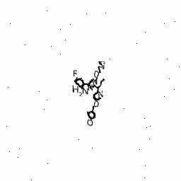 C=CCC(c1ccc(OCc2ccc(OC)cc2)cn1)c1nc(-c2cc(F)ccc2N)cn1COCC[Si](C)(C)C